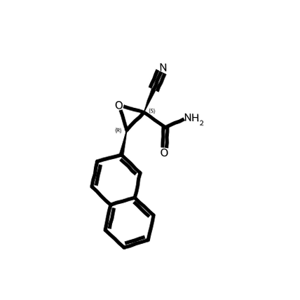 N#C[C@]1(C(N)=O)O[C@@H]1c1ccc2ccccc2c1